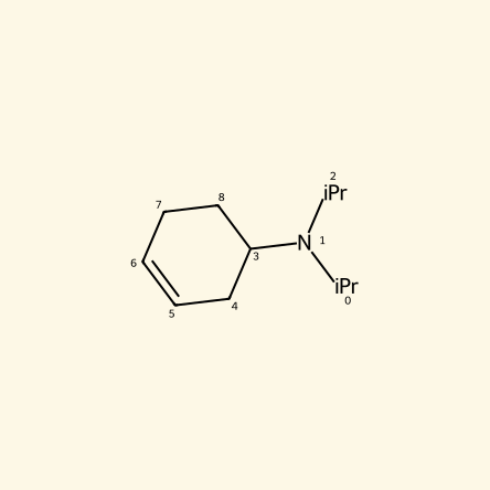 CC(C)N(C(C)C)C1CC=CCC1